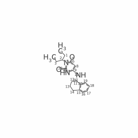 CCC(CC)n1c(=O)cc(N[C@H]2CCCc3ccccc32)[nH]c1=O